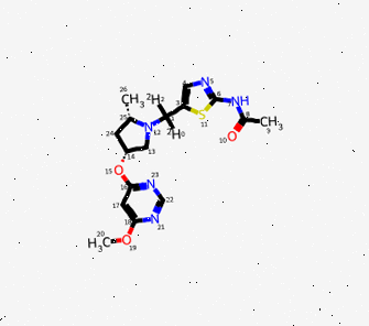 [2H]C([2H])(c1cnc(NC(C)=O)s1)N1C[C@H](Oc2cc(OC)ncn2)C[C@@H]1C